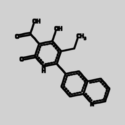 CCc1c(-c2ccc3ncccc3c2)[nH]c(=O)c(C(=O)O)c1O